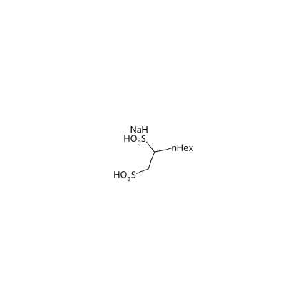 CCCCCCC(CS(=O)(=O)O)S(=O)(=O)O.[NaH]